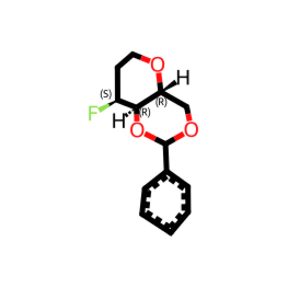 F[C@H]1CCO[C@@H]2COC(c3ccccc3)O[C@@H]12